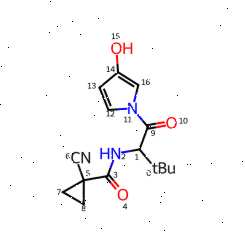 CC(C)(C)C(NC(=O)C1(C#N)CC1)C(=O)n1ccc(O)c1